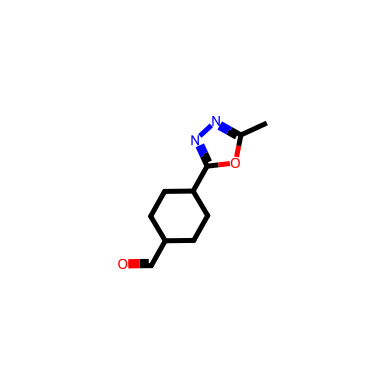 Cc1nnc(C2CCC(C=O)CC2)o1